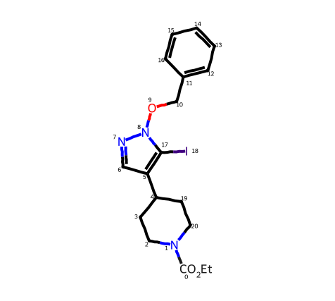 CCOC(=O)N1CCC(c2cnn(OCc3ccccc3)c2I)CC1